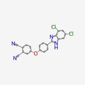 N#Cc1ccc(Oc2ccc(-c3nc4c(Cl)cc(Cl)cc4[nH]3)cc2)cc1C#N